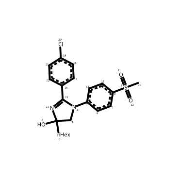 CCCCCCC1(O)CN(c2ccc(S(C)(=O)=O)cc2)C(c2ccc(Cl)cc2)=N1